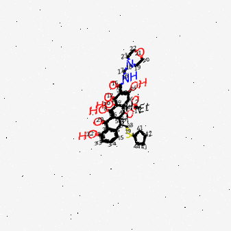 CCC(=O)O[C@H]1[C@H]2C(=C(O)[C@]3(O)C(=O)C(C(=O)NCN4CCOCC4)=C(O)C[C@H]13)C(=O)c1c(O)cccc1[C@@H]2CSC1CCCC1